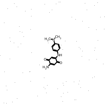 CN(C)c1ccc(NC2=CC(=O)C(N)=CC2=O)cc1